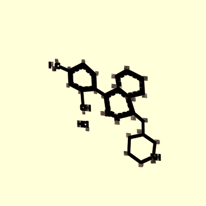 Cl.Oc1cc(C(F)(F)F)ccc1-c1nnc(CC2CCCNC2)c2ccccc12